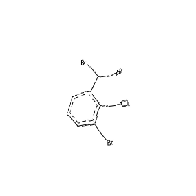 Clc1c(Br)cccc1C(Br)Br